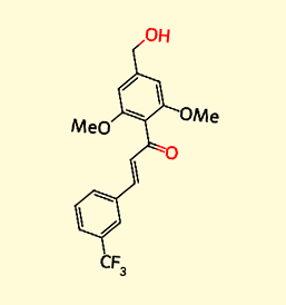 COc1cc(CO)cc(OC)c1C(=O)C=Cc1cccc(C(F)(F)F)c1